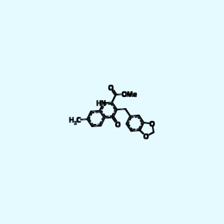 COC(=O)c1[nH]c2cc(C)ccc2c(=O)c1Cc1ccc2c(c1)OCO2